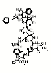 CC[C@H](C)[C@H](NC(=O)[C@@H](CCCNC(=N)N)NC(=O)[C@H](CC(C)C)NC(=O)[C@@H](NC(=O)[C@@H](NC(=O)OCc1ccccc1)[C@H](N)c1ccccc1)[C@H](O)C(C)C)C(=O)N[C@H](C(=O)NCC(=O)N[C@@H](Cc1ccccc1)C(=O)N[C@@H](CO)C(=O)O)[C@H](C)O